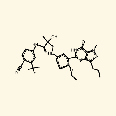 CCCc1nn(C)c2c(=O)[nH]c(-c3cc(BCC(C)(O)C(=O)Nc4ccc(C#N)c(C(F)(F)F)c4)ccc3OCC)nc12